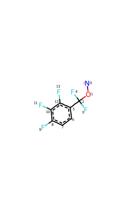 [N]OC(F)(F)c1ccc(F)c(F)c1F